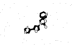 O=C1OC2(CN3CCC2CC3)CN1c1coc(-c2cncs2)c1